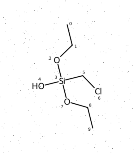 CCO[Si](O)(CCl)OCC